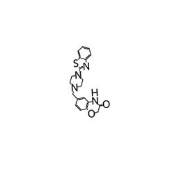 O=C1COc2ccc(CN3CCN(c4nc5ccccc5s4)CC3)cc2N1